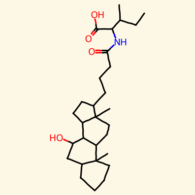 CCC(C)C(NC(=O)CCCC1CCC2C3C(O)CC4CCCCC4(C)C3CCC12C)C(=O)O